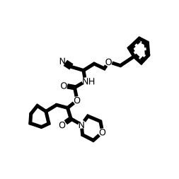 N#CC(CCOCc1ccccc1)NC(=O)OC(CC1CCCCC1)C(=O)N1CCOCC1